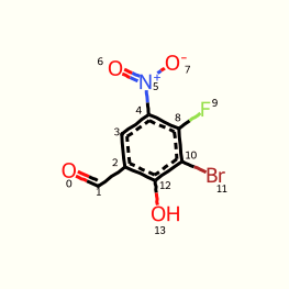 O=Cc1cc([N+](=O)[O-])c(F)c(Br)c1O